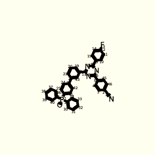 N#Cc1ccc(-c2nc(-c3ccc(F)cc3)nc(-c3cccc(-c4ccc(P(=O)(c5ccccc5)c5ccccc5)cc4)c3)n2)cc1